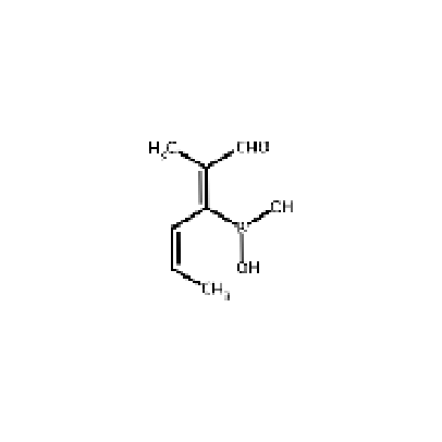 C/C=C\C(B(O)O)=C(/C)C=O